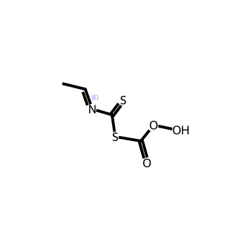 C/C=N/C(=S)SC(=O)OO